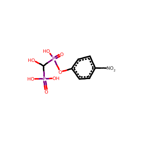 O=[N+]([O-])c1ccc(OP(=O)(O)C(O)P(=O)(O)O)cc1